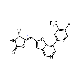 O=C1NC(=S)S/C1=C\c1cc2cncc(-c3ccc(F)c(C(F)(F)F)c3)c2o1